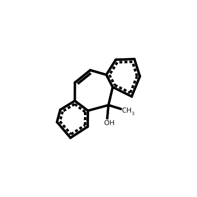 CC1(O)c2ccccc2C=Cc2ccccc21